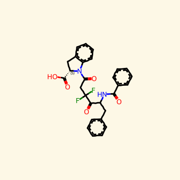 O=C(NC(Cc1ccccc1)C(=O)C(F)(F)CC(=O)N1c2ccccc2C[C@H]1C(=O)O)c1ccccc1